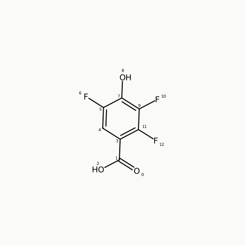 O=C(O)c1cc(F)c(O)c(F)c1F